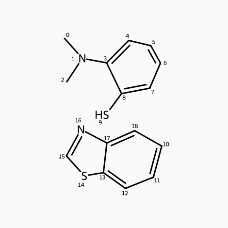 CN(C)c1ccccc1S.c1ccc2scnc2c1